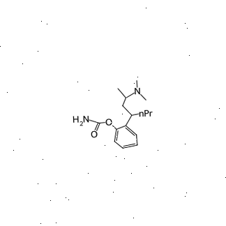 CCCC(CC(C)N(C)C)c1ccccc1OC(N)=O